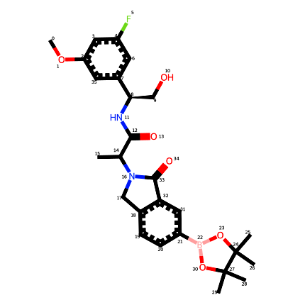 COc1cc(F)cc([C@@H](CO)NC(=O)C(C)N2Cc3ccc(B4OC(C)(C)C(C)(C)O4)cc3C2=O)c1